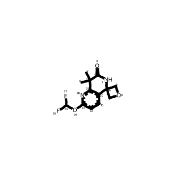 CC1(C)C(=O)NC2(COC2)c2ccc(OC(F)F)nc21